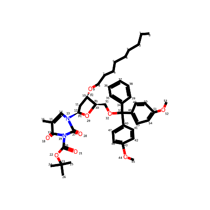 CCCCCCCCCO[C@H]1C[C@H](n2cc(C)c(=O)n(C(=O)OC(C)(C)C)c2=O)O[C@@H]1COC(c1ccccc1)(c1ccc(OC)cc1)c1ccc(OC)cc1